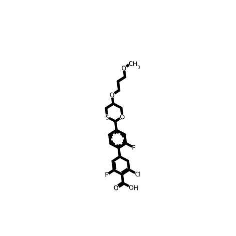 COCCCOC1COC(c2ccc(C3C=C(F)C(C(=O)O)=C(Cl)C3)c(F)c2)SC1